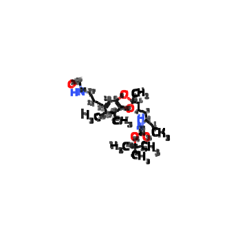 CCC(CCCC1(C)Oc2cc(CCNC=O)c(C)c(C)c2O1)NC(=O)OC(C)(C)C